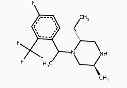 CC[C@@H]1CN[C@@H](C)CN1C(C)c1ccc(F)cc1C(F)(F)F